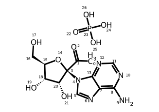 CC(=O)[C@@]1(n2cnc3c(N)ncnc32)O[C@H](CO)[C@@H](O)[C@H]1O.O=P(O)(O)O